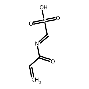 C=CC(=O)N=CS(=O)(=O)O